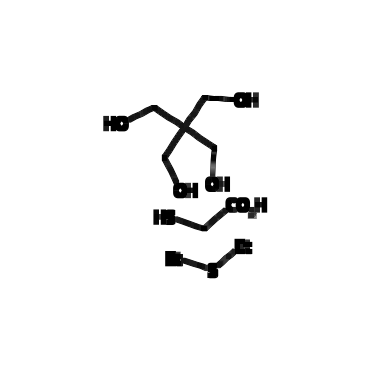 CCSCC.O=C(O)CS.OCC(CO)(CO)CO